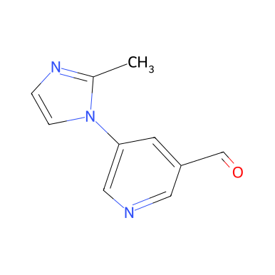 Cc1nccn1-c1cncc(C=O)c1